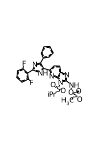 CC(C)S(=O)(=O)n1c(NOS(C)(=O)=O)nc2ccc(-c3[nH]c(-c4c(F)cccc4F)nc3-c3ccccc3)nc21